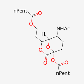 CCCCCC(=O)OCCC1OC(=O)[C@]2(OC(=O)CCCCC)CC[C@@H](NC(C)=O)[C@H]1O2